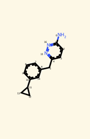 Nc1ccc(Cc2cccc(C3CC3)c2)nn1